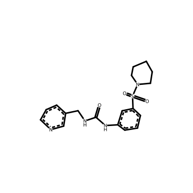 O=C(NCc1cccnc1)Nc1cccc(S(=O)(=O)N2CCCCC2)c1